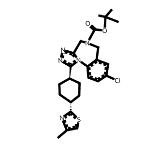 Cc1csc([C@H]2CC[C@H](c3nnc4n3-c3ccc(Cl)cc3CN(C(=O)OC(C)(C)C)C4)CC2)n1